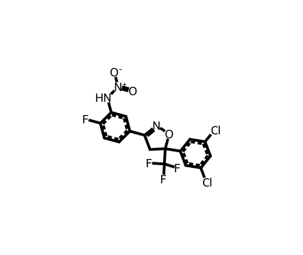 O=[N+]([O-])Nc1cc(C2=NOC(c3cc(Cl)cc(Cl)c3)(C(F)(F)F)C2)ccc1F